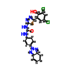 O=C(Nc1ccc(-n2nc3ccccc3n2)cc1)Nc1nnc(-c2cc(Cl)cc(Cl)c2O)s1